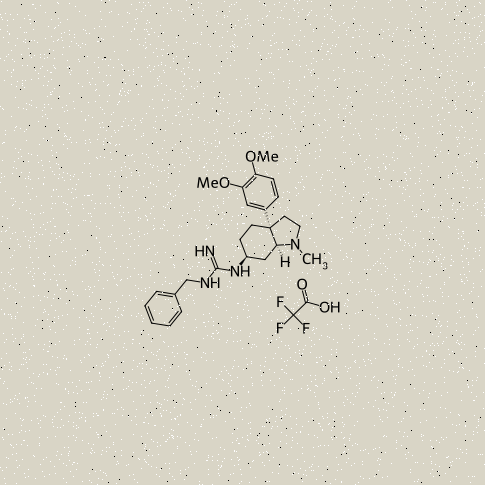 COc1ccc([C@@]23CC[C@H](NC(=N)NCc4ccccc4)C[C@@H]2N(C)CC3)cc1OC.O=C(O)C(F)(F)F